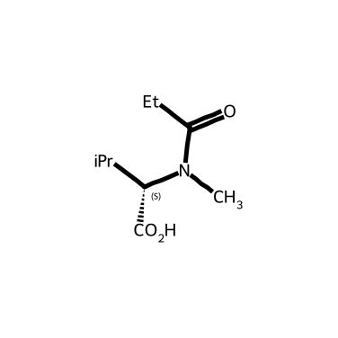 CCC(=O)N(C)[C@H](C(=O)O)C(C)C